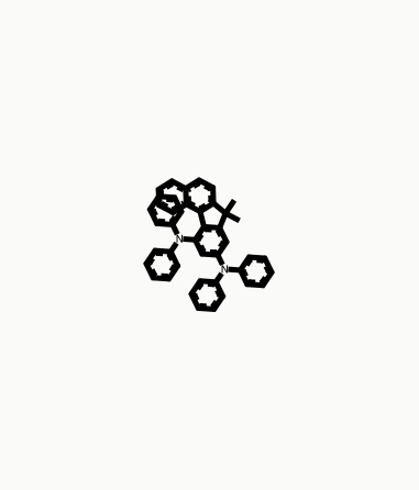 CC1(C)c2cc(N(c3ccccc3)c3ccccc3)cc(N(c3ccccc3)c3ccccc3)c2-c2c1ccc1ccccc21